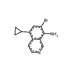 Nc1c(Br)cc(C2CC2)c2ccncc12